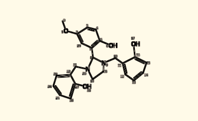 COc1ccc(O)c(C2N(Cc3ccccc3O)CCN2Cc2ccccc2O)c1